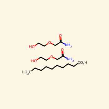 NC(=O)COCCO.NC(=O)COCCO.O=C(O)CCCCCCCCC(=O)O